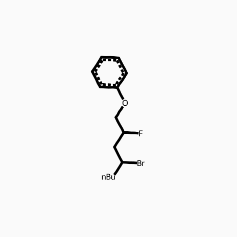 CCCCC(Br)CC(F)COc1ccccc1